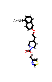 CC(=O)Nc1cccc2cc(OCCC3CCN(C(=O)OCc4cscn4)CC3)ccc12